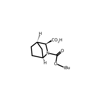 CC(C)(C)OC(=O)N1[C@H]2CC[C@H](C2)[C@H]1C(=O)O